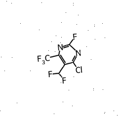 Fc1nc(Cl)c(C(F)F)c(C(F)(F)F)n1